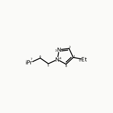 CCc1cnn(CCC(C)C)c1